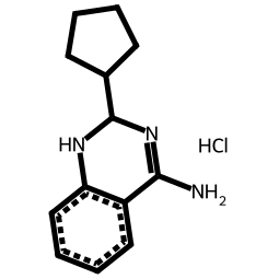 Cl.NC1=NC(C2CCCC2)Nc2ccccc21